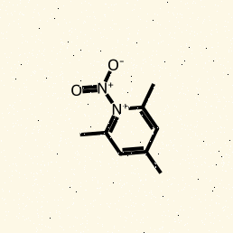 Cc1cc(C)[n+]([N+](=O)[O-])c(C)c1